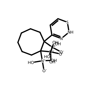 [O-][N+](O)(O)C1(C2=NNSC=C2)CCCCCCC1([N+]([O-])(O)O)[N+]([O-])(O)O